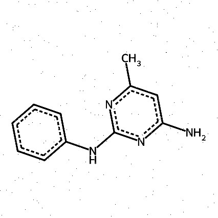 Cc1cc(N)nc(Nc2ccccc2)n1